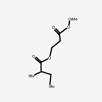 COOC(=O)CCOC(=O)C(CC(C)(C)C)C(C)(C)C